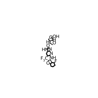 O[C@@H]1OC[C@H]2[C@@H]1OC[C@H]2Oc1nc2nc(N[C@@H]3COc4cccc(F)c43)c(C(F)(F)F)cc2[nH]1